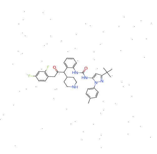 Cc1ccc(-n2nc(C(C)(C)C)cc2NC(=O)Nc2ccccc2C(C(=O)Cc2ccc(F)cc2F)C2CCNCC2)cc1